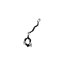 [O]CCCSc1cncnc1